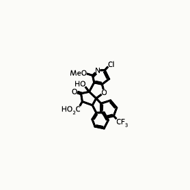 COc1nc(Cl)cc2c1C1(O)C(=O)C(C(=O)O)C(c3ccccc3)C1(c1ccc(C(F)(F)F)cc1)O2